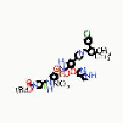 CC1(C)CCC(CN2CC=C(c3ccc(C(=O)NS(=O)(=O)c4ccc(NCC5(F)CCN(C(=O)OC(C)(C)C)CC5)c([N+](=O)[O-])c4)c(Oc4cnc5[nH]ccc5c4)c3)CC2)=C(c2ccc(Cl)cc2)C1